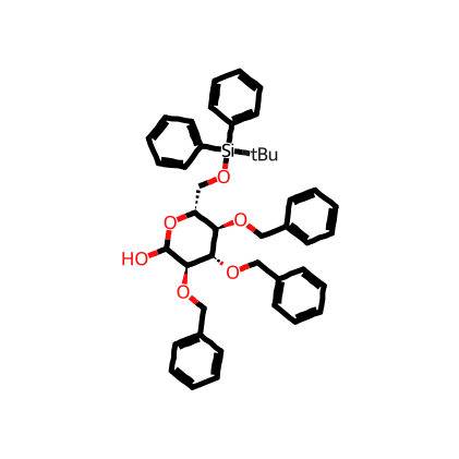 CC(C)(C)[Si](OC[C@H]1OC(O)[C@H](OCc2ccccc2)[C@@H](OCc2ccccc2)[C@@H]1OCc1ccccc1)(c1ccccc1)c1ccccc1